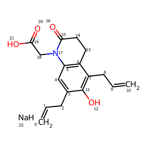 C=CCc1cc2c(c(CC=C)c1O)CCC(=O)N2CC(=O)O.[NaH]